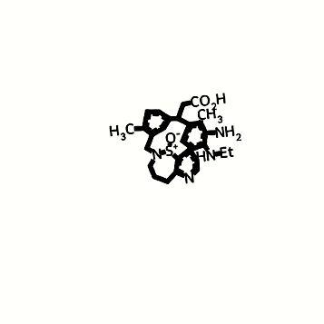 CCNc1ccc(C(CC(=O)O)c2ccc(C)c(CN3CCCc4ncccc4[S+]3[O-])c2)c(C)c1N